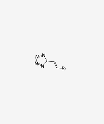 BrC=CC1N=NN=N1